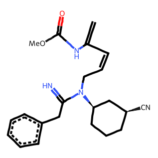 C=C(/C=C\CN(C(=N)Cc1ccccc1)[C@@H]1CCC[C@H](C#N)C1)NC(=O)OC